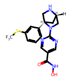 O=C(NO)c1cnc(N2C[C@@H]3C[C@]2(c2cccc(SC(F)(F)F)c2)CN3)nc1